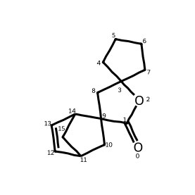 O=C1OC2(CCCC2)CC12CC1C=CC2C1